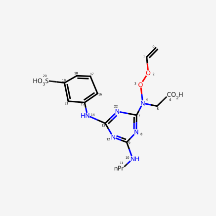 C=COON(CC(=O)O)c1nc(NCCC)nc(Nc2cccc(S(=O)(=O)O)c2)n1